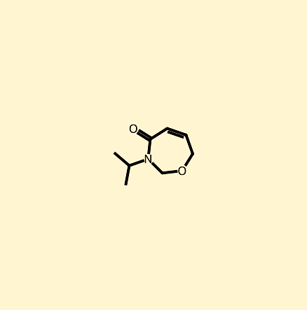 CC(C)N1COCC=CC1=O